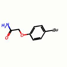 CCC(C)c1ccc(OCC(N)=O)cc1